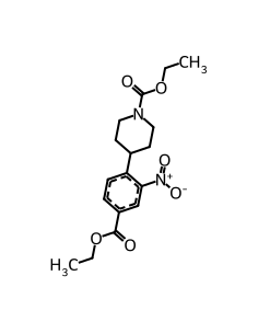 CCOC(=O)c1ccc(C2CCN(C(=O)OCC)CC2)c([N+](=O)[O-])c1